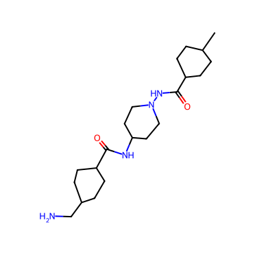 CC1CCC(C(=O)NN2CCC(NC(=O)C3CCC(CN)CC3)CC2)CC1